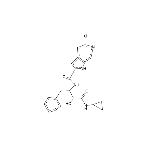 O=C(N[C@@H](Cc1ccccc1)[C@@H](O)C(=O)NC1CC1)c1cc2cc(Cl)ncc2[nH]1